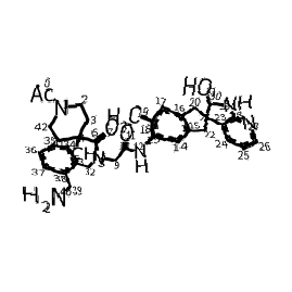 CC(=O)N1CCC(C)(C(=O)N(CC(=O)Nc2cc3c(cc2C)CC2(C3)c3cccnc3NC2O)Cc2ccccc2CN)CC1